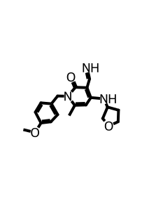 COc1ccc(Cn2c(C)cc(NC3CCOC3)c(C=N)c2=O)cc1